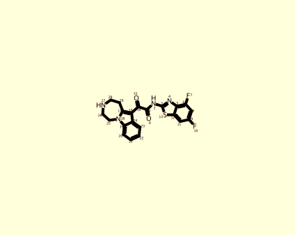 O=C(Nc1nc2c(F)cc(F)cc2s1)C(=O)c1c2n(c3ccccc13)CCNCC2